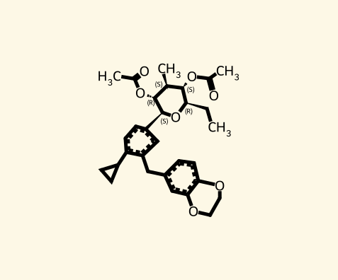 CC[C@H]1O[C@@H](c2ccc(C3CC3)c(Cc3ccc4c(c3)OCCO4)c2)[C@H](OC(C)=O)[C@@H](C)[C@@H]1OC(C)=O